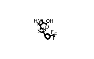 O=C(O)c1c[nH]nc1-c1nc(-c2cccc(C(F)(F)F)c2)cs1